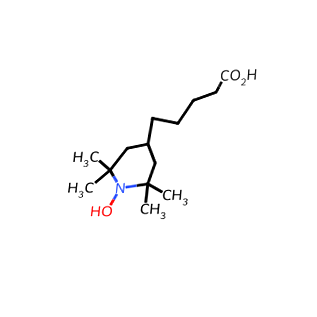 CC1(C)CC(CCCCC(=O)O)CC(C)(C)N1O